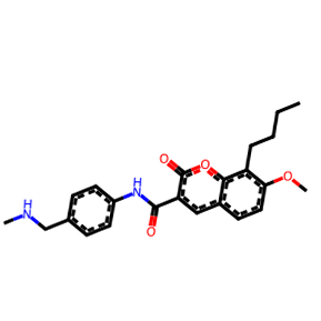 CCCCc1c(OC)ccc2cc(C(=O)Nc3ccc(CNC)cc3)c(=O)oc12